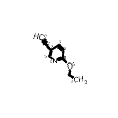 C#Cc1ccc(OCC)nc1